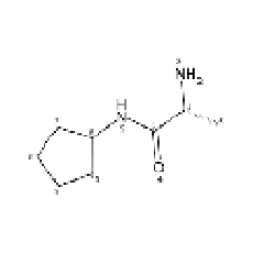 C[C@@H](N)C(=O)NC1CCCC1